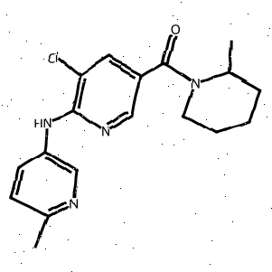 Cc1ccc(Nc2ncc(C(=O)N3CCCCC3C)cc2Cl)cn1